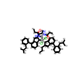 CCCC1=Cc2c(-c3ccccc3CC(C)C)cccc2[CH]1[Hf]([Cl])([Cl])([B](NC(=O)CC)NC(=O)CC)[CH]1C(CCC)=Cc2c(-c3ccccc3CC(C)C)cccc21